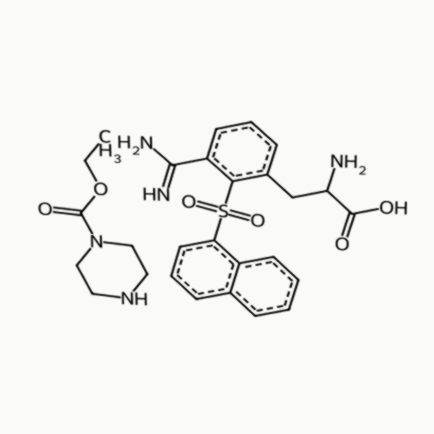 CCOC(=O)N1CCNCC1.N=C(N)c1cccc(CC(N)C(=O)O)c1S(=O)(=O)c1cccc2ccccc12